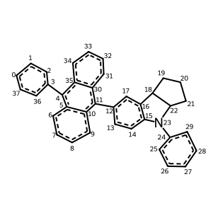 c1ccc(-c2c3ccccc3c(-c3ccc4c(c3)C3CCCC3N4c3ccccc3)c3ccccc23)cc1